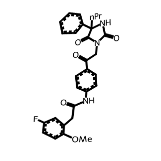 CCCC1(c2ccccc2)NC(=O)N(CC(=O)c2ccc(NC(=O)Cc3cc(F)ccc3OC)cc2)C1=O